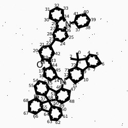 CC1(C)c2ccccc2-c2ccc(N(c3ccc4oc5ccc(-c6ccc7c(c6)c6ccccc6n7-c6ccccc6)cc5c4c3)c3cccc4c3-c3ccccc3C43c4ccccc4-c4ccccc43)cc21